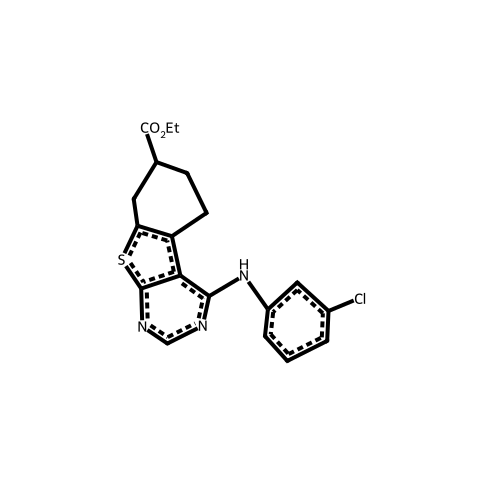 CCOC(=O)C1CCc2c(sc3ncnc(Nc4cccc(Cl)c4)c23)C1